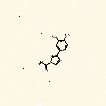 N#Cc1ccc(-c2[c]cn(C(N)=O)n2)cc1Cl